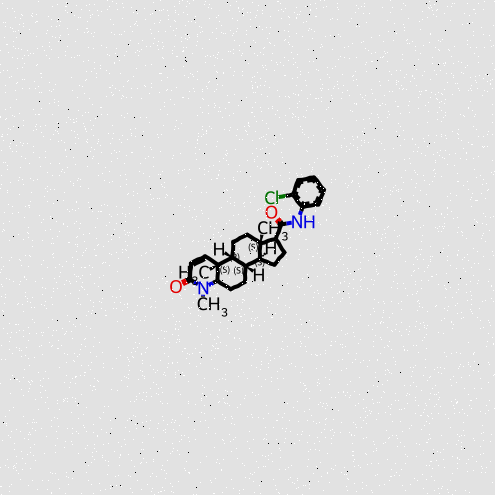 CN1C(=O)C=C[C@@]2(C)C1CC[C@@H]1[C@H]2CC[C@]2(C)C(C(=O)Nc3ccccc3Cl)CC[C@@H]12